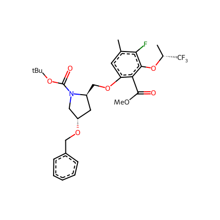 COC(=O)c1c(OC[C@H]2C[C@H](OCc3ccccc3)CN2C(=O)OC(C)(C)C)cc(C)c(F)c1O[C@H](C)C(F)(F)F